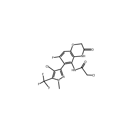 Cn1nc(-c2c(F)cc3c(c2NC(=O)CCl)NC(=O)CO3)c(Cl)c1C(F)(F)F